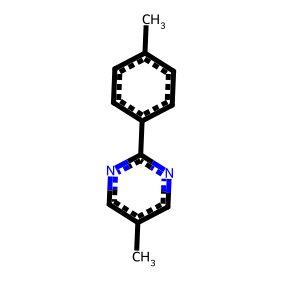 Cc1ccc(-c2ncc(C)cn2)cc1